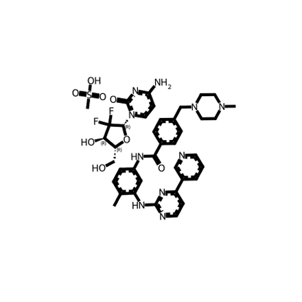 CS(=O)(=O)O.Cc1ccc(NC(=O)c2ccc(CN3CCN(C)CC3)cc2)cc1Nc1nccc(-c2cccnc2)n1.Nc1ccn([C@@H]2O[C@H](CO)[C@@H](O)C2(F)F)c(=O)n1